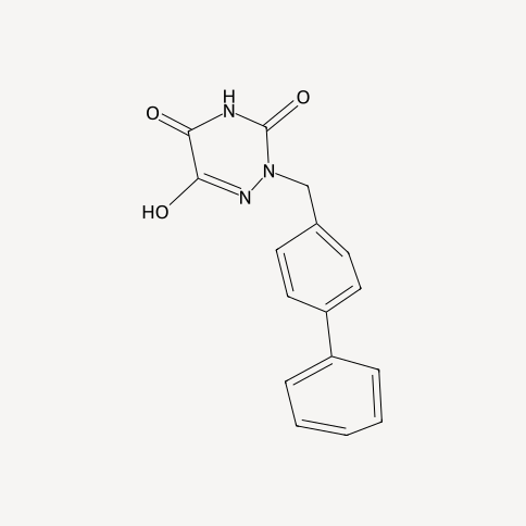 O=c1[nH]c(=O)n(Cc2ccc(-c3ccccc3)cc2)nc1O